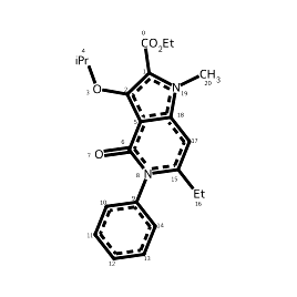 CCOC(=O)c1c(OC(C)C)c2c(=O)n(-c3ccccc3)c(CC)cc2n1C